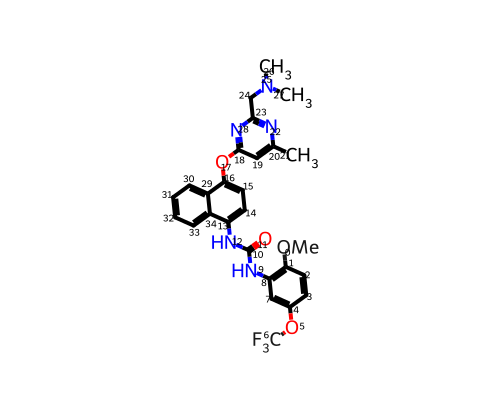 COc1ccc(OC(F)(F)F)cc1NC(=O)Nc1ccc(Oc2cc(C)nc(CN(C)C)n2)c2ccccc12